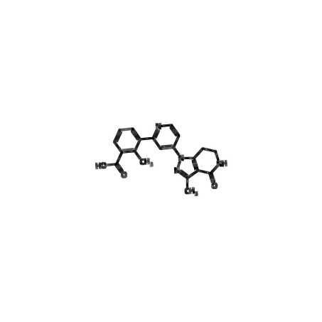 Cc1nn(-c2ccnc(-c3cccc(C(=O)O)c3C)c2)c2c1C(=O)NCC2